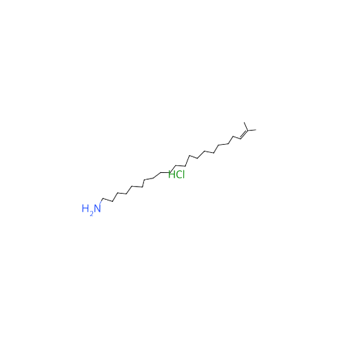 CC(C)=CCCCCCCCCCCCCCCCCCCCN.Cl